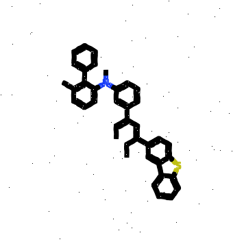 C/C=C(\C=C(/CC)c1ccc2sc3ccccc3c2c1)c1cccc(N(C)c2cccc(C)c2-c2ccccc2)c1